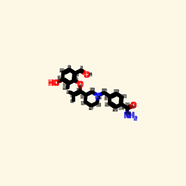 CC(C)=C(Oc1c(C=O)ccc(O)c1C)C1CCCN(Cc2ccc(C(N)=O)cc2)C1